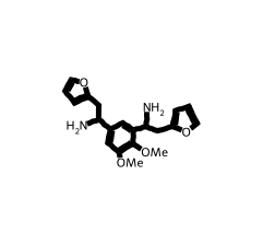 COc1cc(C(N)Cc2ccco2)cc(C(N)Cc2ccco2)c1OC